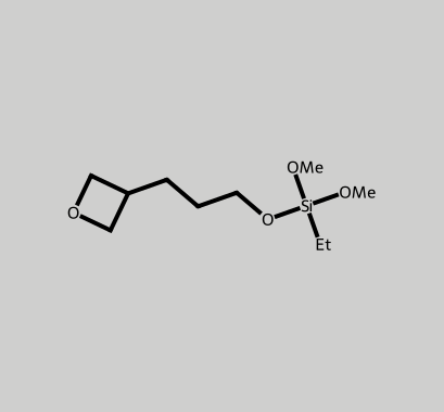 CC[Si](OC)(OC)OCCCC1COC1